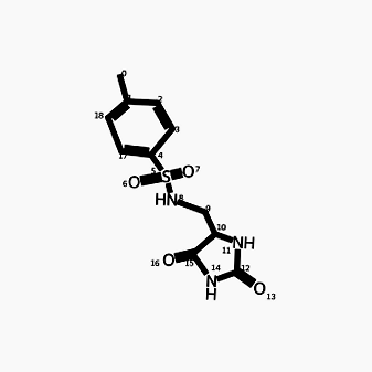 Cc1ccc(S(=O)(=O)NCC2NC(=O)NC2=O)cc1